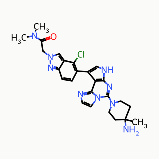 CN(C)C(=O)Cn1cc2c(Cl)c(-c3c[nH]c4nc(N5CCC(C)(N)CC5)n5ccnc5c34)ccc2n1